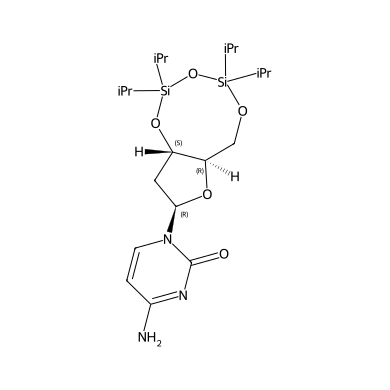 CC(C)[Si]1(C(C)C)OC[C@H]2O[C@@H](n3ccc(N)nc3=O)C[C@@H]2O[Si](C(C)C)(C(C)C)O1